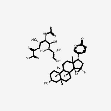 CC(=O)N[C@@H]([C@@H](O)[C@H](O)[C@H](O)CO)[C@@H](O)CC(=O)C(=O)O.C[C@]12CC[C@H](O)C[C@H]1CC[C@@H]1[C@@H]2CC[C@]2(C)[C@@H](c3ccc(=O)oc3)C[C@H]3O[C@]132